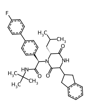 CC(C)C[C@@H]1C(=O)NC(C2Cc3ccccc3C2)C(=O)N1[C@@H](C(=O)NC(C)(C)C)c1ccc(-c2ccc(F)cc2)cc1